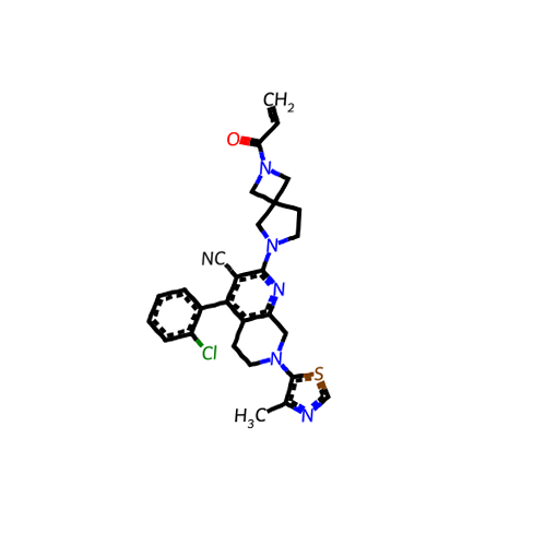 C=CC(=O)N1CC2(CCN(c3nc4c(c(-c5ccccc5Cl)c3C#N)CCN(c3scnc3C)C4)C2)C1